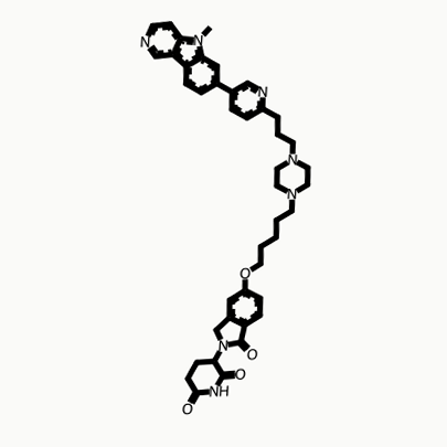 Cn1c2ccncc2c2ccc(-c3ccc(CCCN4CCN(CCCCCOc5ccc6c(c5)CN(C5CCC(=O)NC5=O)C6=O)CC4)nc3)cc21